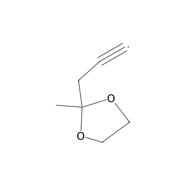 [C]#CCC1(C)OCCO1